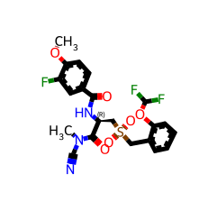 COc1ccc(C(=O)N[C@@H](CS(=O)(=O)Cc2ccccc2OC(F)F)C(=O)N(C)C#N)cc1F